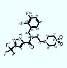 O=C(c1cc(C(F)(F)F)n[nH]1)N(CCN1CCS(=O)(=O)CC1)Cc1cccc(F)c1F